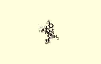 B\C(CCCC)=C(C(/C=C\C)=C/C=C\C)\c1c(C)nc(B)n(CC(C)=C2CCC2)c1=O